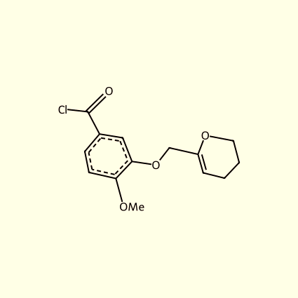 COc1ccc(C(=O)Cl)cc1OCC1=CCCCO1